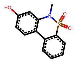 CN1c2cc(O)ccc2-c2ccccc2S1(=O)=O